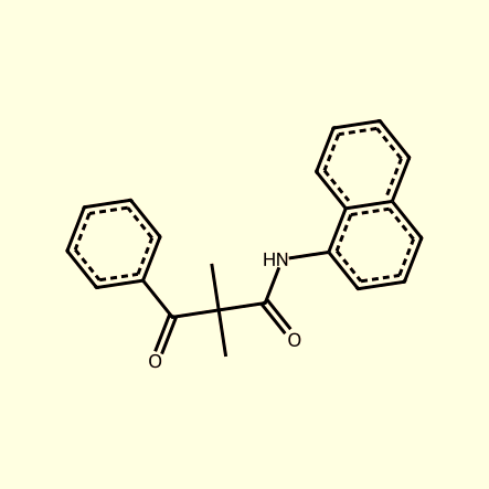 CC(C)(C(=O)Nc1cccc2ccccc12)C(=O)c1ccccc1